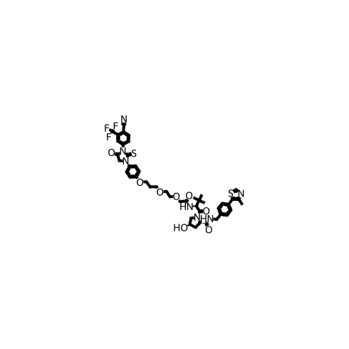 Cc1ncsc1-c1ccc(CNC(=O)[C@@H]2C[C@@H](O)CN2C(=O)[C@@H](NC(=O)COCCOCCCOc2ccc(N3CC(=O)N(c4ccc(C#N)c(C(F)(F)F)c4)C3=S)cc2)C(C)(C)C)cc1